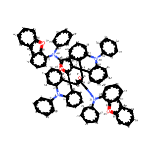 c1ccc(N2c3ccccc3C3(c4ccccc42)c2cc(N(c4ccccc4)c4cccc5c4oc4ccccc45)oc2C2(c4ccccc4N(c4ccccc4)c4ccccc42)c2cc(N(c4ccccc4)c4cccc5c4oc4ccccc45)oc23)cc1